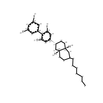 CCCCCCCC1CC[C@@H]2C[C@H](c3cc(F)c(-c4cc(F)cc(F)c4)c(F)c3)CC[C@@H]2C1